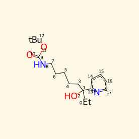 CCC(O)(CCCCCNC(=O)OC(C)(C)C)c1ccccn1